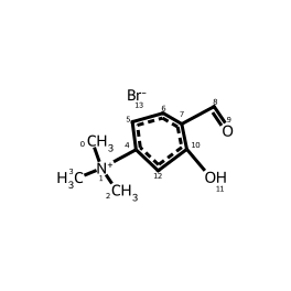 C[N+](C)(C)c1ccc(C=O)c(O)c1.[Br-]